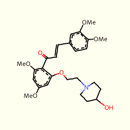 COc1cc(OC)c(C(=O)C=Cc2ccc(OC)c(OC)c2)c(OCCN2CCC(O)CC2)c1